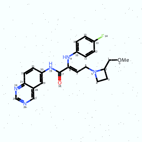 COCC1CCN1CC=C(Nc1ccc(F)cc1)C(=O)Nc1ccc2ncncc2c1